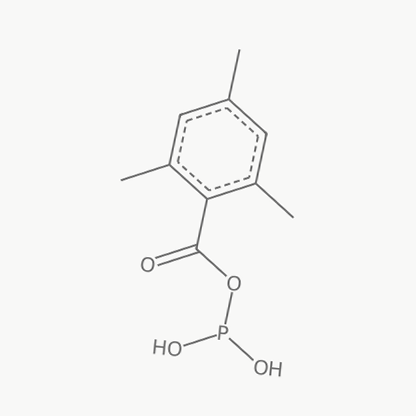 Cc1cc(C)c(C(=O)OP(O)O)c(C)c1